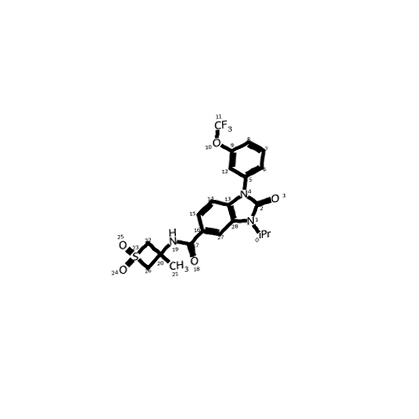 CC(C)n1c(=O)n(-c2cccc(OC(F)(F)F)c2)c2ccc(C(=O)NC3(C)CS(=O)(=O)C3)cc21